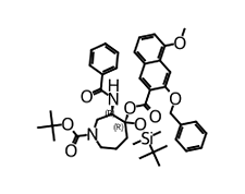 COc1cccc2cc(C(=O)O[C@@]3(O[Si](C)(C)C(C)(C)C)CCCN(C(=O)OC(C)(C)C)C[C@H]3NC(=O)c3ccccc3)c(OCc3ccccc3)cc12